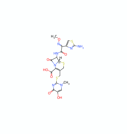 CON=C(C(=O)NC1C(=O)N2C(C(=O)O)=C(CSc3nc(=O)c(O)cn3C)CS[C@@H]12)c1csc(N)n1